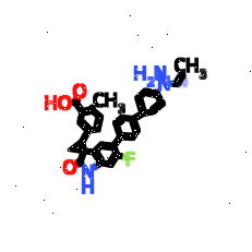 C/C=C\N(N)c1ccc(-c2ccc(-c3cc4c(cc3F)NC(=O)C43CC3c3ccc(C)c(C(=O)O)c3)cc2)cc1